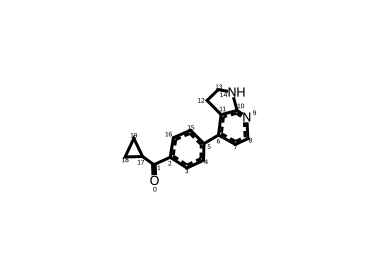 O=C(c1ccc(-c2ccnc3c2CCN3)cc1)C1CC1